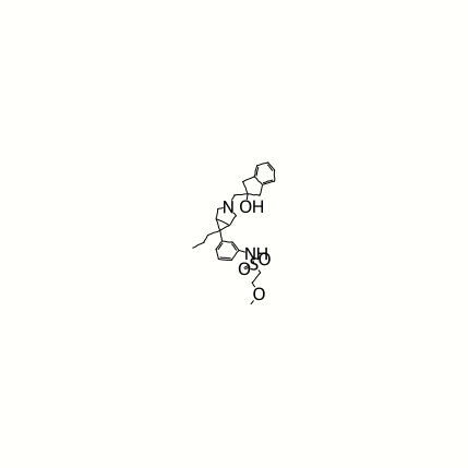 CCCC1(c2cccc(NS(=O)(=O)CCOC)c2)C2CN(CC3(O)Cc4ccccc4C3)CC21